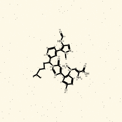 CC(C)CCCC(c1cc(-c2c(NC=O)cnn2C)ccn1)n1cnc(-c2cc(Cl)ccc2N(N)/C=C(\N)C(=O)O)cc1=O